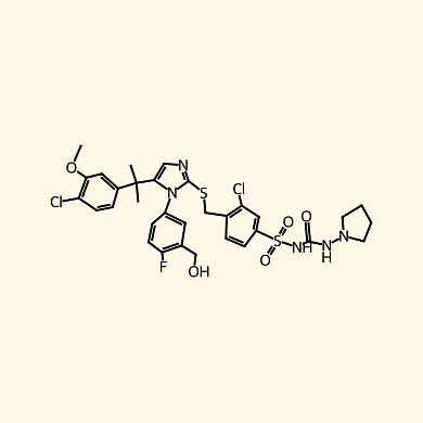 COc1cc(C(C)(C)c2cnc(SCc3ccc(S(=O)(=O)NC(=O)NN4CCCC4)cc3Cl)n2-c2ccc(F)c(CO)c2)ccc1Cl